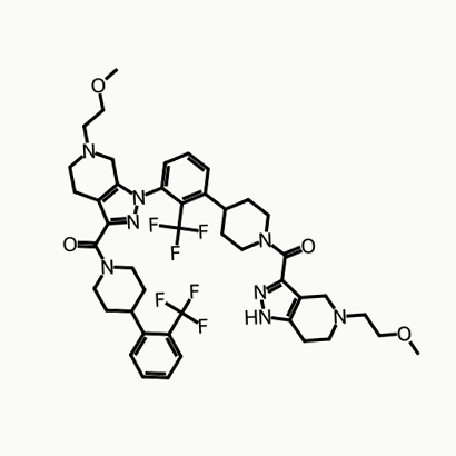 COCCN1CCc2[nH]nc(C(=O)N3CCC(c4cccc(-n5nc(C(=O)N6CCC(c7ccccc7C(F)(F)F)CC6)c6c5CN(CCOC)CC6)c4C(F)(F)F)CC3)c2C1